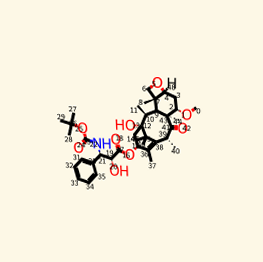 CO[C@H]1C[C@H]2OC[C@@]2(C)C2[C@H](C)[C@]3(O)C[C@H](OC(=O)[C@H](O)[C@@H](NC(=O)OC(C)(C)C)c4ccccc4)C(C)=C([C@@H](C)C(=O)[C@@]21C)C3(C)C